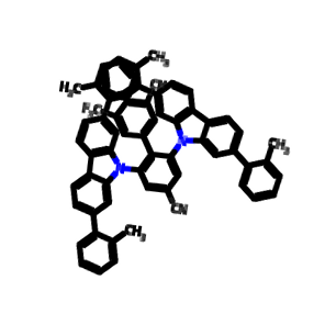 Cc1ccccc1-c1ccc2c3ccc(-c4ccccc4C)cc3n(-c3cc(C#N)cc(-n4c5cc(-c6ccccc6C)ccc5c5ccc(-c6ccccc6C)cc54)c3-c3cc(C#N)cc(C(F)(F)F)c3)c2c1